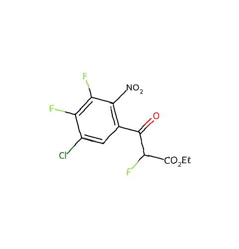 CCOC(=O)C(F)C(=O)c1cc(Cl)c(F)c(F)c1[N+](=O)[O-]